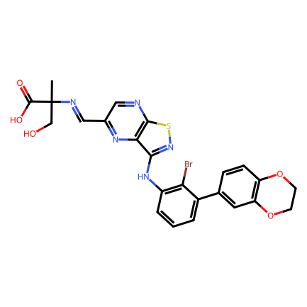 CC(CO)(N=Cc1cnc2snc(Nc3cccc(-c4ccc5c(c4)OCCO5)c3Br)c2n1)C(=O)O